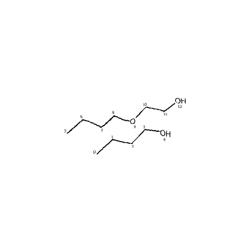 CCCCO.CCCCOCCO